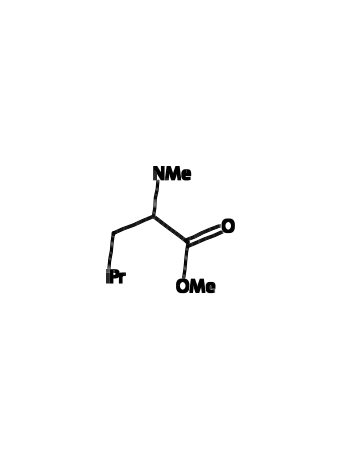 CNC(CC(C)C)C(=O)OC